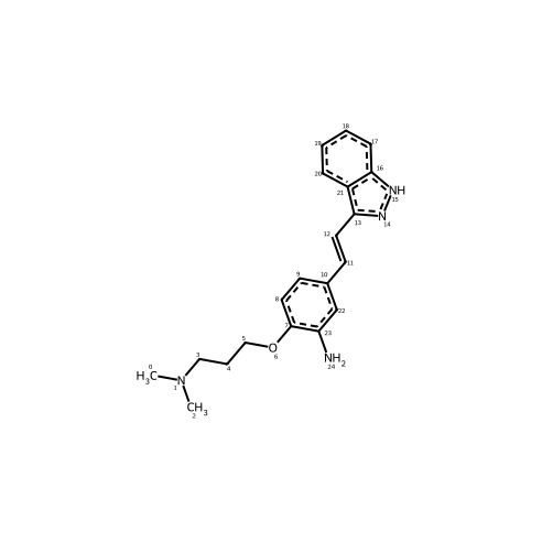 CN(C)CCCOc1ccc(C=Cc2n[nH]c3ccccc23)cc1N